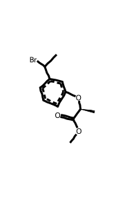 COC(=O)[C@H](C)Oc1cccc(C(C)Br)c1